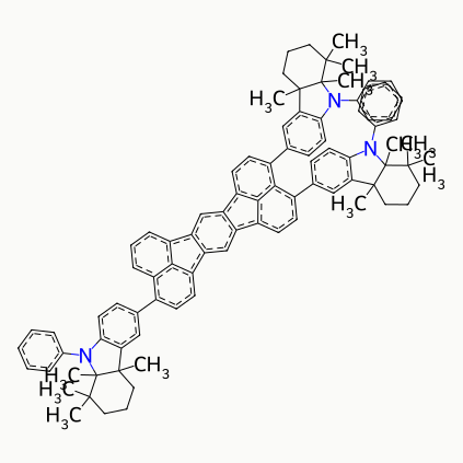 CC1(C)CCCC2(C)c3cc(-c4ccc5c6cc7c(cc6c6cccc4c65)c4ccc(-c5ccc6c(c5)C5(C)CCCC(C)(C)C5(C)N6c5ccccc5)c5c(-c6ccc8c(c6)C6(C)CCCC(C)(C)C6(C)N8c6ccccc6)ccc7c54)ccc3N(c3ccccc3)C12C